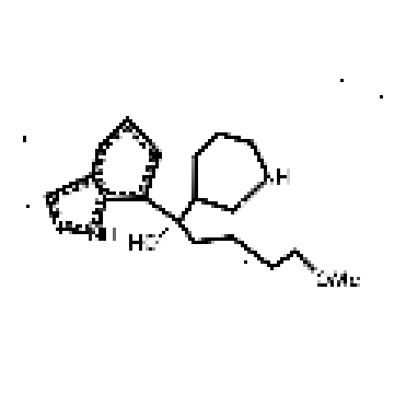 COCCCC[C@@](O)(c1cccc2cn[nH]c12)C1CCCNC1